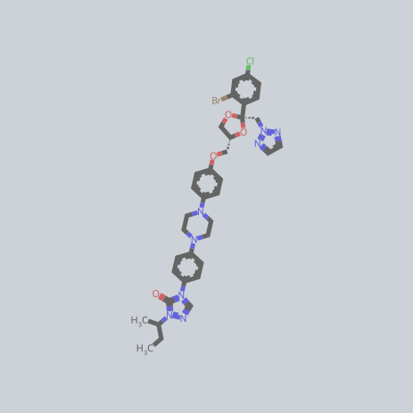 CCC(C)n1ncn(-c2ccc(N3CCN(c4ccc(OC[C@@H]5CO[C@@](Cn6nccn6)(c6ccc(Cl)cc6Br)O5)cc4)CC3)cc2)c1=O